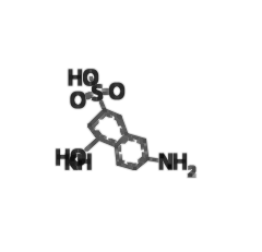 Nc1ccc2c(O)cc(S(=O)(=O)O)cc2c1.[KH]